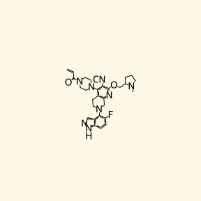 C=CC(=O)N1CCN(c2c(C#N)c(OCC3CCCN3C)nc3c2CCN(c2c(F)ccc4[nH]ncc24)C3)CC1